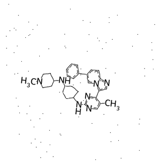 Cc1cnc(NC2CCC(NC3CCN(C)CC3)CC2)nc1-c1cnc2ccc(-c3ccccc3)cn12